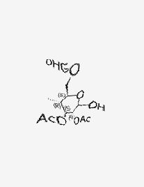 CC(=O)O[C@H]1[C@H](C)[C@@H](COC=O)OC(O)[C@@H]1OC(C)=O